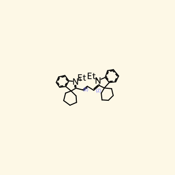 CCN1/C(=C\C=C\C2=[N+](CC)c3ccccc3C23CCCCC3)C2(CCCCC2)c2ccccc21